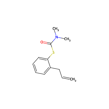 C=CCc1ccccc1SC(=O)N(C)C